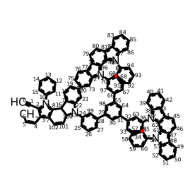 C#Cc1c(/C=C\C)c2c(n1-c1ccccc1)C1c3ccccc3N(c3cccc(-c4cc(-c5cccc(-n6c7ccccc7c7ccc8c9ccccc9n(-c9ccccc9)c8c76)c5)cc(-c5cccc(-n6c7ccccc7c7ccc8c9ccccc9n(-c9ccccc9)c8c76)c5)c4)c3)C1C=C2